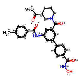 COC(=O)[C@H]1CCCN(C(=O)c2cc(NC(=O)c3ccc(C)cc3)cc(-c3ccc(C(=O)NO)cc3)c2)C1